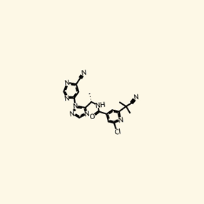 C[C@H](NC(=O)c1cc(Cl)nc(C(C)(C)C#N)c1)c1ncnn1-c1cc(C#N)ncn1